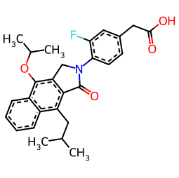 CC(C)Cc1c2c(c(OC(C)C)c3ccccc13)CN(c1ccc(CC(=O)O)cc1F)C2=O